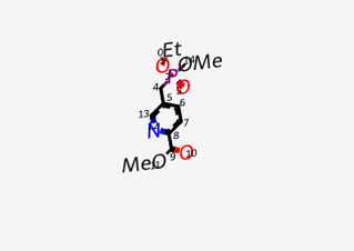 CCOP(=O)(Cc1ccc(C(=O)OC)nc1)OC